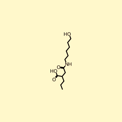 CCCC(CC(=O)NCCCCCCO)C(=O)O